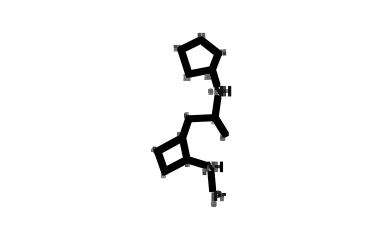 CC(C)NC1CCC1CC(C)NC1CCCC1